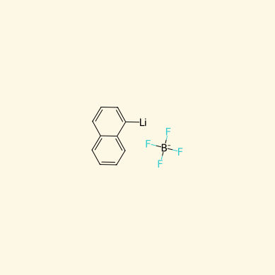 F[B-](F)(F)F.[Li][c]1cccc2ccccc12